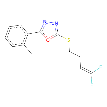 Cc1ccccc1-c1nnc(SCCC=C(F)F)o1